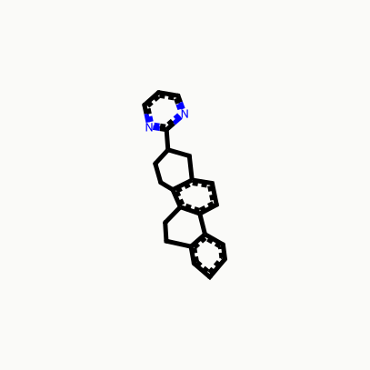 c1cnc(C2CCc3c(ccc4c3CCc3ccccc3-4)C2)nc1